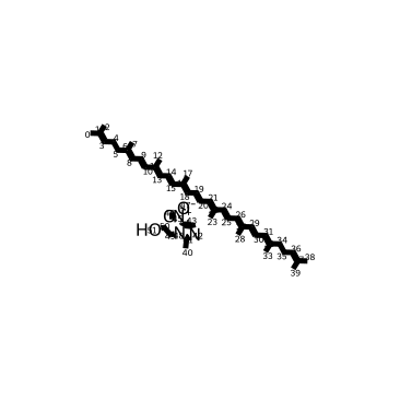 CC(C)=CCC/C(C)=C/C=C/C(C)=C/C=C/C(C)=C/C=C/C=C(C)/C=C/C=C(C)/C=C/C=C(\C)CCC=C(C)C.Cc1ncc([N+](=O)[O-])n1CCO